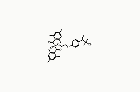 Cc1cc(C)c(C(=O)P(=O)(OCCOc2ccc(C(=O)C(C)(C)O)cc2)C(=O)c2c(C)cc(C)cc2C)c(C)c1